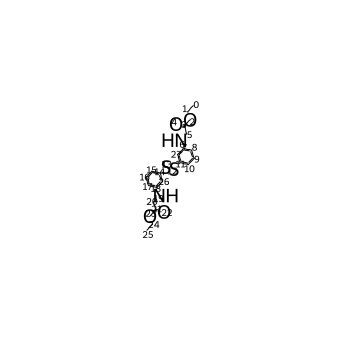 CCOC(=O)CNc1cccc(SSc2cccc(NCC(=O)OCC)c2)c1